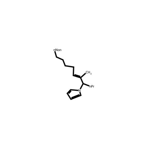 CCCCCCCCCCCCCC=C(C)C(CCC)n1cccc1